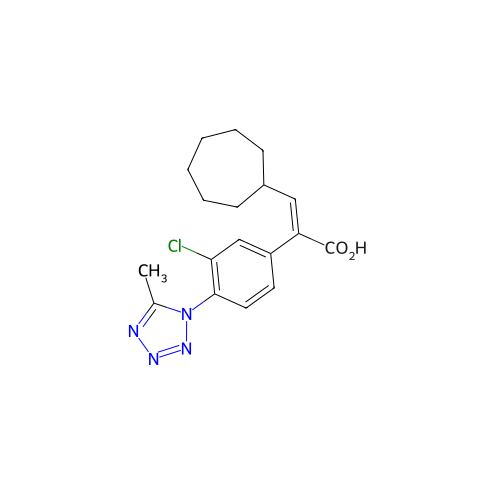 Cc1nnnn1-c1ccc(/C(=C\C2CCCCCC2)C(=O)O)cc1Cl